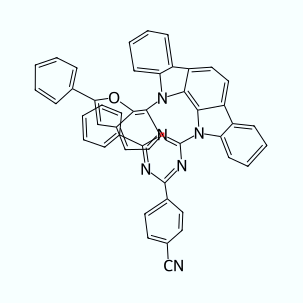 N#Cc1ccc(-c2nc(-c3ccccc3)nc(-n3c4ccccc4c4ccc5c6ccccc6n(-c6cccc7cc(-c8ccccc8)oc67)c5c43)n2)cc1